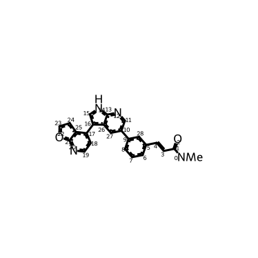 CNC(=O)C=Cc1cccc(-c2cnc3[nH]cc(-c4ccnc5occc45)c3c2)c1